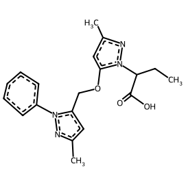 CCC(C(=O)O)n1nc(C)cc1OCc1cc(C)nn1-c1ccccc1